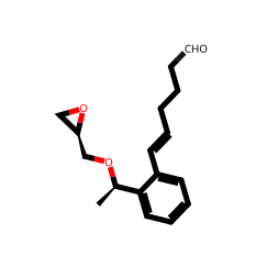 C[C@@H](OC[C@H]1CO1)c1ccccc1/C=C/CCCC=O